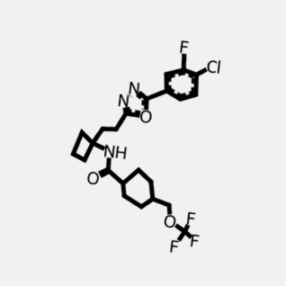 O=C(NC1(CCc2nnc(-c3ccc(Cl)c(F)c3)o2)CCC1)C1CCC(COC(F)(F)F)CC1